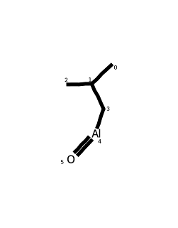 CC(C)[CH2][Al]=[O]